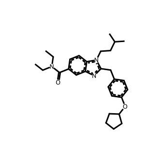 CCN(CC)C(=O)c1ccc2c(c1)nc(Cc1ccc(OC3CCCC3)cc1)n2CCC(C)C